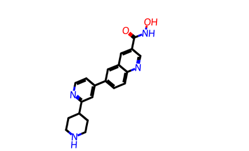 O=C(NO)c1cnc2ccc(-c3ccnc(C4CCNCC4)c3)cc2c1